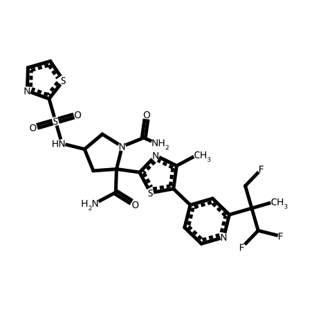 Cc1nc(C2(C(N)=O)CC(NS(=O)(=O)c3nccs3)CN2C(N)=O)sc1-c1ccnc(C(C)(CF)C(F)F)c1